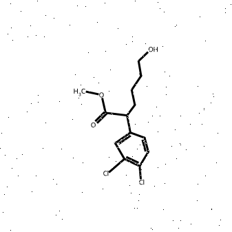 COC(=O)C(CCCCO)c1ccc(Cl)c(Cl)c1